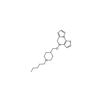 CCCCCN1CCC(CON2Cc3cccn3-c3sccc32)CC1